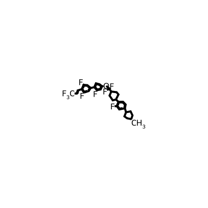 CC1CCC(c2ccc(C3CCC(C(F)(F)Oc4ccc(-c5cc(F)c(/C=C/C(F)(F)F)c(F)c5)c(F)c4)CC3)c(F)c2)CC1